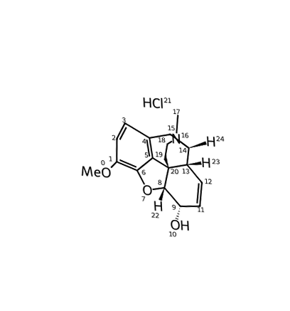 COc1ccc2c3c1O[C@H]1[C@@H](O)C=C[C@H]4[C@@H](C2)N(C)CC[C@@]341.Cl